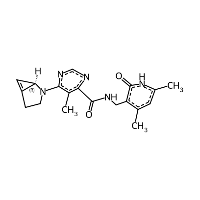 Cc1cc(C)c(CNC(=O)c2ncnc(N3CCC4=C[C@H]43)c2C)c(=O)[nH]1